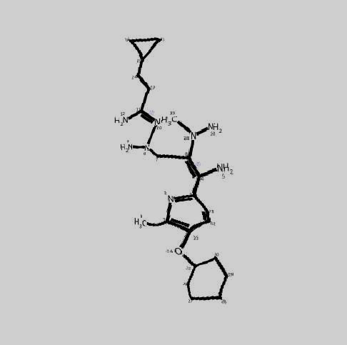 Cc1nc(/C(N)=C(\CN(N)/N=C(\N)CCC2CC2)N(C)N)ccc1OC1CCCCC1